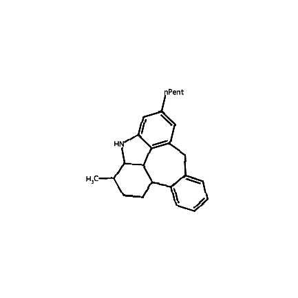 CCCCCc1cc2c3c(c1)NC1C(C)CCC(c4ccccc4C2)C31